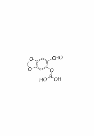 O=Cc1cc2c(cc1OB(O)O)OCO2